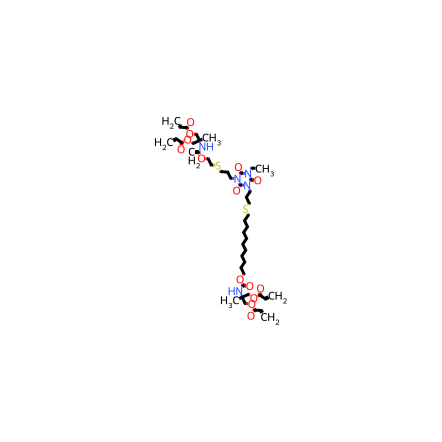 C=CC(=O)OCC(C)(COC(=O)C=C)NC(=C)OCCSCCCn1c(=O)n(CC)c(=O)n(CCCSCCCCCCCCCCCOC(=O)NC(C)(COC(=O)C=C)COC(=O)C=C)c1=O